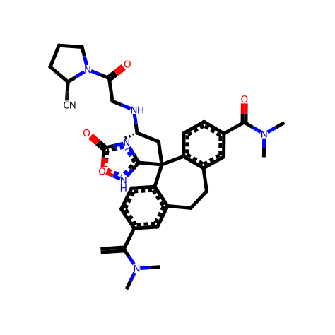 C=C(c1ccc2c(c1)CCc1cc(C(=O)N(C)C)ccc1C2(C[C@H](C)NCC(=O)N1CCCC1C#N)c1nc(=O)o[nH]1)N(C)C